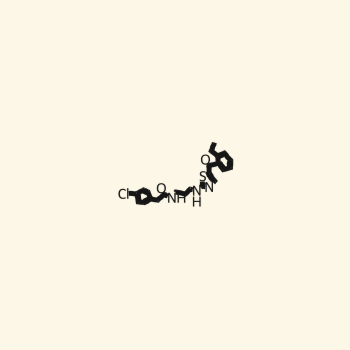 CCc1ccccc1C(=O)c1cnc(NCCCNC(=O)Cc2ccc(Cl)cc2)s1